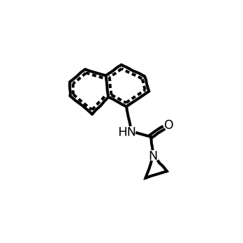 O=C(Nc1cccc2ccccc12)N1CC1